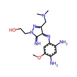 COc1cc(N=C2C(=N)N(CCO)N=C2CN(C)C)c(N)cc1N